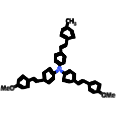 COc1ccc(/C=C/c2ccc(N(c3ccc(/C=C/c4ccc(C)cc4)cc3)c3ccc(/C=C/c4ccc(OC)cc4)cc3)cc2)cc1